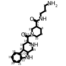 NCCCNC(=O)C1CCCN(C(=O)C2CC3c4ccccc4NC3CN2)C1